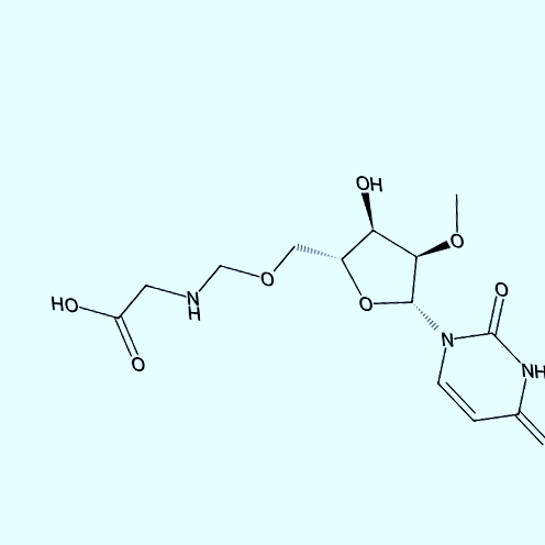 CO[C@@H]1[C@H](O)[C@@H](COCNCC(=O)O)O[C@H]1n1ccc(=O)[nH]c1=O